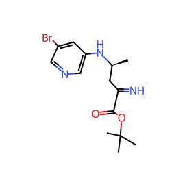 C[C@@H](CC(=N)C(=O)OC(C)(C)C)Nc1cncc(Br)c1